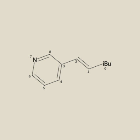 CCC(C)C=Cc1cccnc1